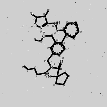 CCCCC1=NC2(CCCC2)C(=O)N1Cc1ccc(-c2ccccc2SNC2=NOC(C)C2C)c(COCC)c1